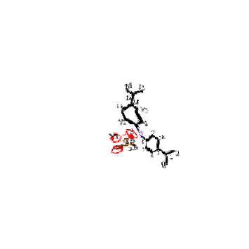 CC(C)c1ccc([I+]c2ccc(C(C)C)cc2)cc1.CS(=O)(=O)[O-]